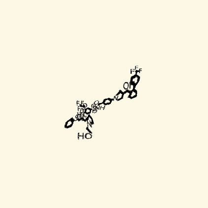 CC1(CC(CSc2ccccc2)Nc2ccc(S(=O)(=O)NC(=O)c3ccc(N4CCC([C@@H](O)c5ccccc5-c5ccc(C(F)(F)F)cc5)CC4)cc3)cc2S(=O)(=O)C(F)(F)F)CCCN1CCO